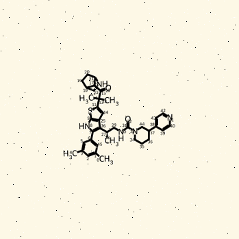 Cc1cc(C)cc(-c2[nH]c3sc(C(C)(C)C(=O)C4C5CCC4NC5)cc3c2[C@H](C)CNC(=O)N2CCCC(c3ccncc3)C2)c1